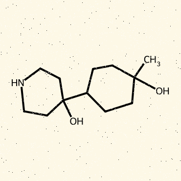 CC1(O)CCC(C2(O)CCNCC2)CC1